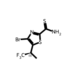 C[C@H](c1sc(C(N)=S)nc1Br)C(F)(F)F